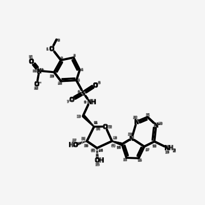 COc1ccc(S(=O)(=O)NC[C@H]2O[C@@H](c3ccc4c(N)ncnn34)[C@H](O)[C@@H]2O)cc1[N+](=O)[O-]